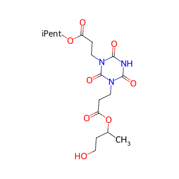 CCCC(C)OC(=O)CCn1c(=O)[nH]c(=O)n(CCC(=O)OC(C)CCO)c1=O